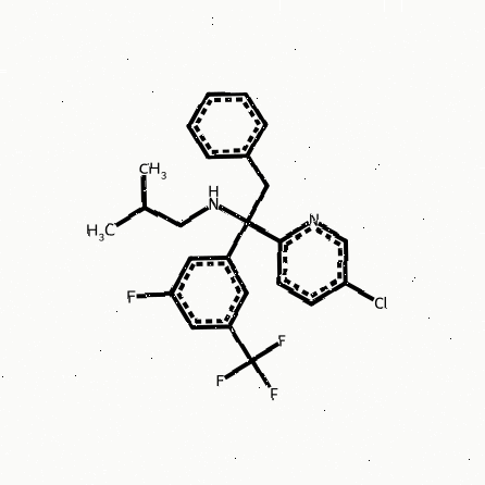 CC(C)CNC(Cc1ccccc1)(c1cc(F)cc(C(F)(F)F)c1)c1ccc(Cl)cn1